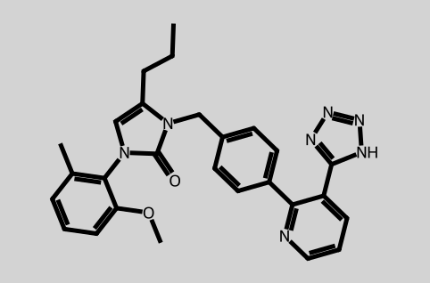 CCCc1cn(-c2c(C)cccc2OC)c(=O)n1Cc1ccc(-c2ncccc2-c2nnn[nH]2)cc1